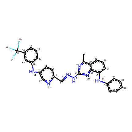 Cc1nc(N/N=C/c2ccc(Nc3cccc(C(F)(F)F)c3)cn2)nc2c(Nc3ccccc3)cccc12